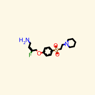 NC/C=C(/F)COc1ccc(S(=O)(=O)CCN2CCCCC2)cc1